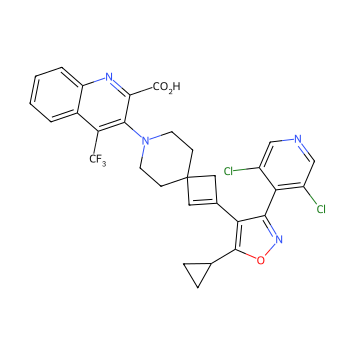 O=C(O)c1nc2ccccc2c(C(F)(F)F)c1N1CCC2(C=C(c3c(-c4c(Cl)cncc4Cl)noc3C3CC3)C2)CC1